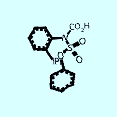 CC(C)c1ccccc1N(C(=O)O)S(=O)(=O)Oc1ccccc1